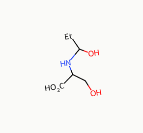 CCC(O)NC(CO)C(=O)O